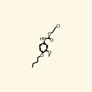 CCCCOc1ccc(NC(=O)OCCCl)cc1OC